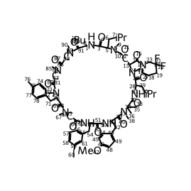 CC[C@H](C)C1NC(=O)C(CC(C)C)N(C)C(=O)CC(C(=O)N2CCCC(F)(F)C2)N(C)C(=O)C(CC(C)C)NC(=O)C(C)(C)N(C)C(=O)C(Cc2ccc(OC)cc2)NC(=O)C(Cc2cccc(I)c2)NC(=O)CN(C)C(=O)C(Cc2ccc(C)cc2)N(C)C(=O)CN(C)C(=O)CN(C)C1=O